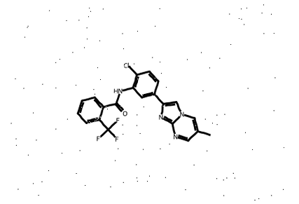 Cc1cnc2nc(-c3ccc(Cl)c(NC(=O)c4ccccc4C(F)(F)F)c3)cn2c1